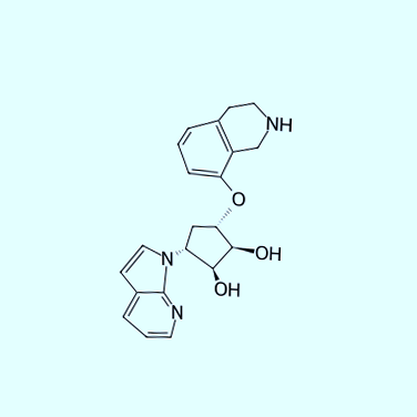 O[C@@H]1[C@H](O)[C@@H](Oc2cccc3c2CNCC3)C[C@H]1n1ccc2cccnc21